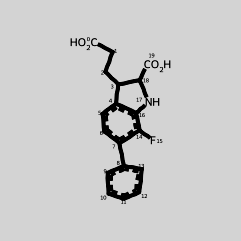 O=C(O)CCC1c2ccc(-c3ccccc3)c(F)c2NC1C(=O)O